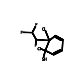 FC(F)C(F)C1(Cl)C=CC=CC1(S)Cl